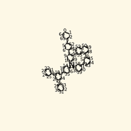 c1ccc(-c2ccc(-c3ccc(N(c4ccc(-c5cc(-c6ccccc6)cc(-c6ccccc6)c5)cc4)c4cccc(-c5cccc(-c6cccc7ccccc67)c5)c4)cc3)cc2)cc1